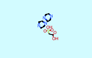 O=C(O)CS(=O)(=O)O.c1cnccn1.c1cnccn1